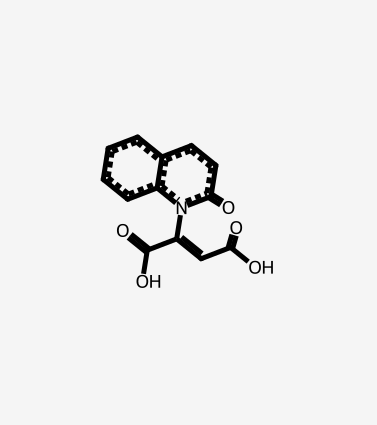 O=C(O)/C=C(/C(=O)O)n1c(=O)ccc2ccccc21